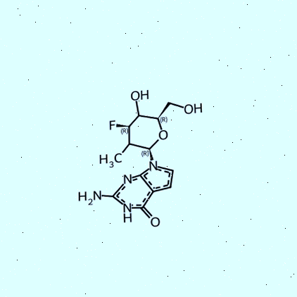 CC1[C@@H](F)C(O)[C@@H](CO)O[C@H]1n1ccc2c(=O)[nH]c(N)nc21